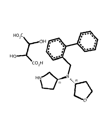 O=C(O)C(O)C(O)C(=O)O.c1ccc(-c2ccccc2CN([C@@H]2CCOC2)[C@H]2CCNC2)cc1